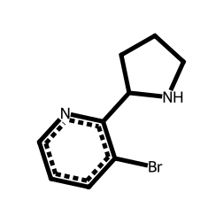 Brc1cccnc1C1CCCN1